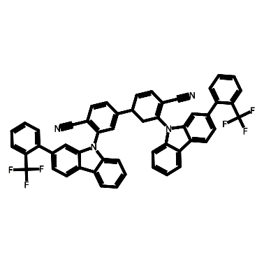 N#CC1=C(n2c3ccccc3c3ccc(-c4ccccc4C(F)(F)F)cc32)CC(c2ccc(C#N)c(-n3c4ccccc4c4ccc(-c5ccccc5C(F)(F)F)cc43)c2)C=C1